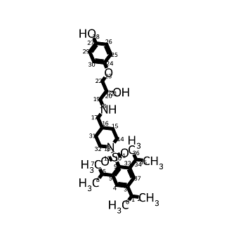 CC(C)c1cc(C(C)C)c(S(=O)(=O)N2CCC(CNC[C@@H](O)COc3ccc(O)cc3)CC2)c(C(C)C)c1